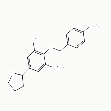 COc1ccc(CSc2c(OC)cc(C3CCCO3)cc2OC)cc1